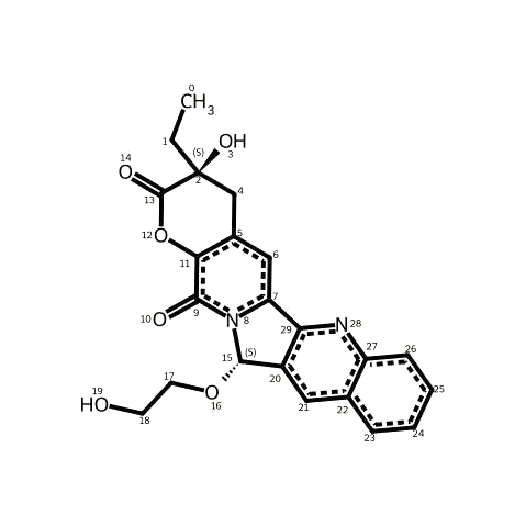 CC[C@]1(O)Cc2cc3n(c(=O)c2OC1=O)[C@@H](OCCO)c1cc2ccccc2nc1-3